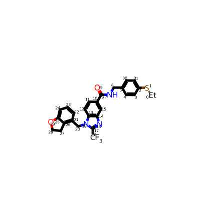 CCSc1ccc(CNC(=O)c2ccc3c(c2)nc(C(F)(F)F)n3Cc2cccc3c2CCO3)cc1